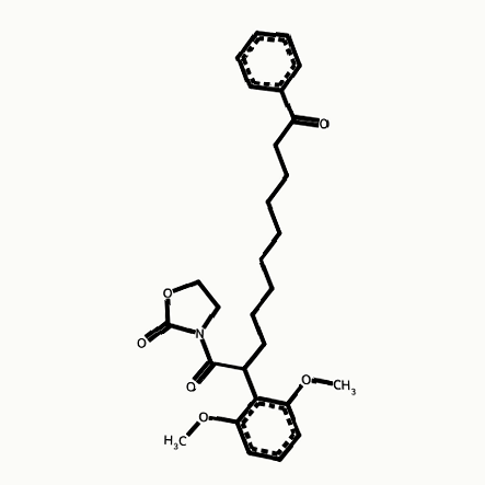 COc1cccc(OC)c1C(CCCCCCCCC(=O)c1ccccc1)C(=O)N1CCOC1=O